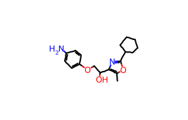 Cc1oc(C2CCCCC2)nc1C(O)COc1ccc(N)cc1